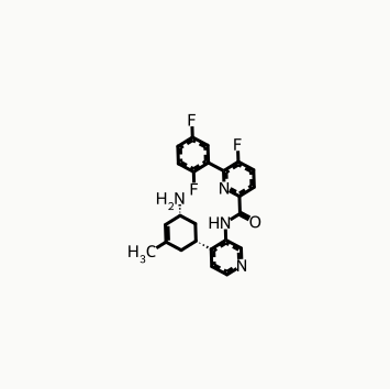 CC1=C[C@H](N)C[C@H](c2ccncc2NC(=O)c2ccc(F)c(-c3cc(F)ccc3F)n2)C1